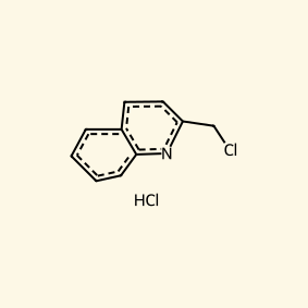 Cl.ClCc1ccc2ccccc2n1